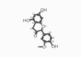 COc1cc(C2Oc3cc(O)cc(O)c3CC2=O)ccc1O